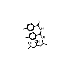 CC(C)CC(O)CC(C)O.Cc1ccc(C(=O)O)cc1.Cc1ccc(C(=O)O)cc1